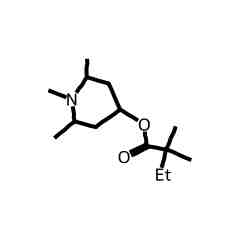 CCC(C)(C)C(=O)OC1CC(C)N(C)C(C)C1